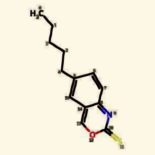 CCCCCc1ccc2nc(=S)occ2c1